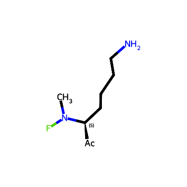 CC(=O)[C@H](CCCCN)N(C)F